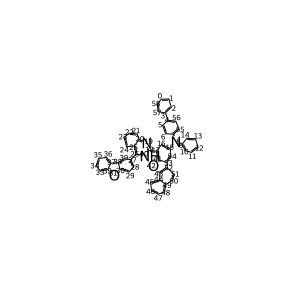 c1ccc(-c2ccc(N(c3ccccc3)c3cc(C4N=c5ccccc5=C(c5ccc6oc7ccccc7c6c5)N4)c4oc5c6ccccc6ccc5c4c3)cc2)cc1